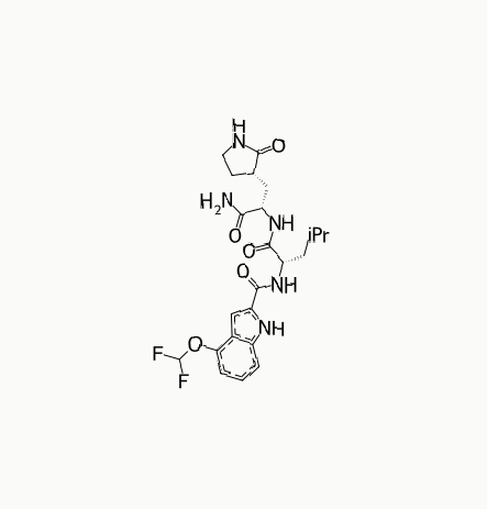 CC(C)C[C@H](NC(=O)c1cc2c(OC(F)F)cccc2[nH]1)C(=O)N[C@@H](C[C@@H]1CCNC1=O)C(N)=O